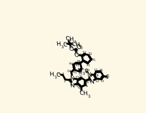 CCCc1nc2c(C)cc(-c3nc4cc(F)ccc4n3C)cc2n1Cc1ccc(-c2ccccc2OC(=O)OC(C)(C)C)cc1